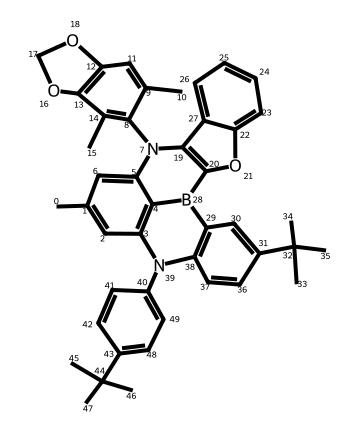 Cc1cc2c3c(c1)N(c1c(C)cc4c(c1C)OCO4)c1c(oc4ccccc14)B3c1cc(C(C)(C)C)ccc1N2c1ccc(C(C)(C)C)cc1